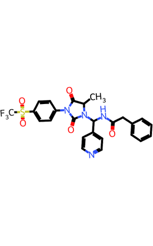 CC1C(=O)N(c2ccc(S(=O)(=O)C(F)(F)F)cc2)C(=O)N1C(NC(=O)Cc1ccccc1)c1ccncc1